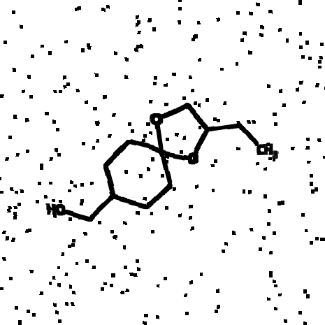 CCC1COC2(CCC(CO)CC2)O1